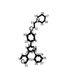 c1ccc(-c2cc(-c3ccc(OCCN4CCCCC4)cc3)nn2-c2ccccc2)cc1